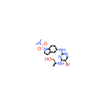 C=C(CO)Nc1nc(Nc2ccc3c(ccn3S(=O)(=O)N(C)C)c2)ncc1Br